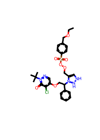 CCOCc1ccc(S(=O)(=O)OOCC2=CNNN2C(COc2cnn(C(C)(C)C)c(=O)c2Cl)c2ccccc2)cc1